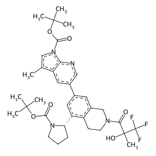 Cc1cn(C(=O)OC(C)(C)C)c2ncc(-c3cc4c(c([C@@H]5CCCN5C(=O)OC(C)(C)C)c3)CCN(C(=O)C(C)(O)C(F)(F)F)C4)cc12